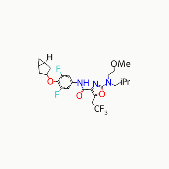 COCCN(CC(C)C)c1nc(C(=O)Nc2cc(F)c(O[C@H]3CC4C[C@H]4C3)c(F)c2)c(CC(F)(F)F)o1